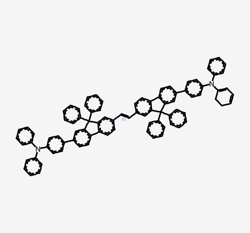 C1=CCCC(N(c2ccccc2)c2ccc(-c3ccc4c(c3)C(c3ccccc3)(c3ccccc3)c3cc(/C=C/c5ccc6c(c5)C(c5ccccc5)(c5ccccc5)c5cc(-c7ccc(N(c8ccccc8)c8ccccc8)cc7)ccc5-6)ccc3-4)cc2)=C1